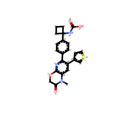 CN1C(=O)COc2nc(-c3ccc(C4(NC(=O)O)CCC4)cc3)c(-c3ccsc3)cc21